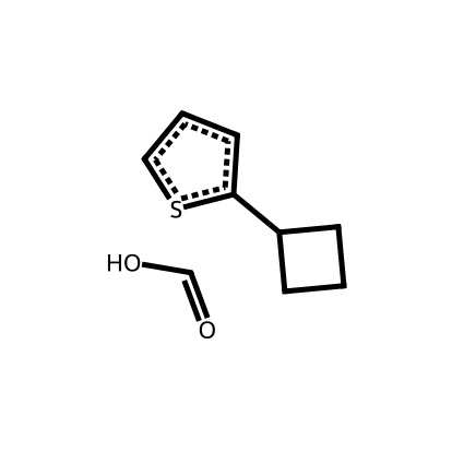 O=CO.c1csc(C2CCC2)c1